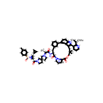 CCn1c(-c2cccnc2[C@H](C)OC)c2c3cc(ccc31)-c1cccc(c1)C[C@H](NC(=O)[C@H](C(C)C)N1CC[C@]3(CCN(C(=O)[C@H]4[C@@H](C5CC5)N4[S@+]([O-])c4ccc(C)cc4)C3)C1)C(=O)N1CCC[C@H](N1)C(=O)OCC(C)(C)C2